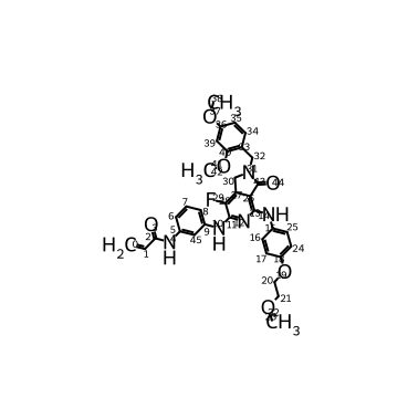 C=CC(=O)Nc1cccc(Nc2nc(Nc3ccc(OCCOC)cc3)c3c(c2F)CN(Cc2ccc(OC)cc2OC)C3=O)c1